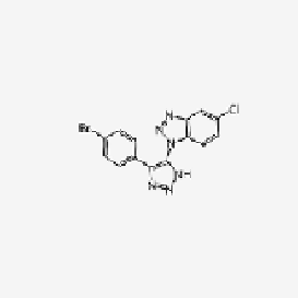 Clc1ccc2c(c1)nnn2-c1[nH]nnc1-c1ccc(Br)cc1